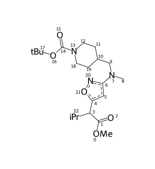 COC(=O)C(c1cc(N(C)CC2CCN(C(=O)OC(C)(C)C)CC2)no1)C(C)C